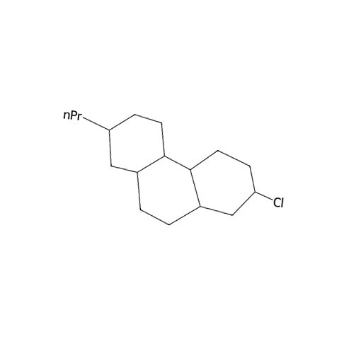 CCCC1CCC2C(CCC3CC(Cl)CCC32)C1